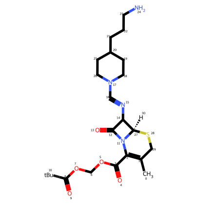 CC1=C(C(=O)OCOC(=O)C(C)(C)C)N2C(=O)C(/N=C/N3CCC(CCCN)CC3)[C@H]2SC1